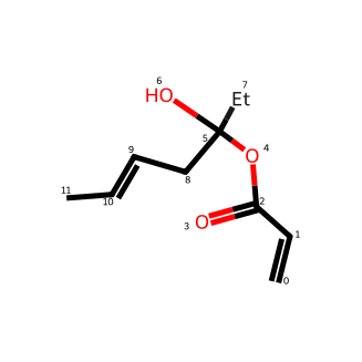 C=CC(=O)OC(O)(CC)CC=CC